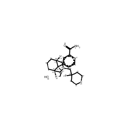 CO[C@]1(c2ccnc(C(N)=O)c2)[C@@H]2CCC[C@H]1CN(CC1(F)CCOCC1)C2.Cl